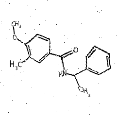 COc1ccc(C(=O)NC(C)c2ccccc2)cc1C